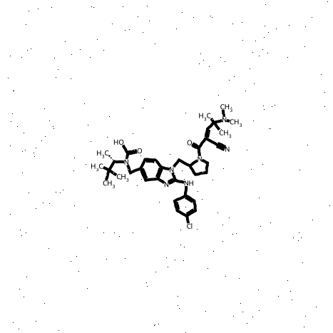 C[C@H](N(Cc1ccc2c(c1)nc(Nc1ccc(Cl)cc1)n2CC1CCCN1C(=O)C(C#N)=CC(C)(C)N(C)C)C(=O)O)C(C)(C)C